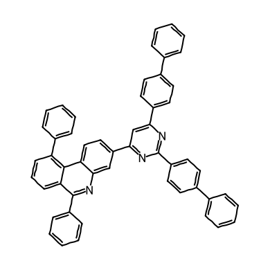 c1ccc(-c2ccc(-c3cc(-c4ccc5c(c4)nc(-c4ccccc4)c4cccc(-c6ccccc6)c45)nc(-c4ccc(-c5ccccc5)cc4)n3)cc2)cc1